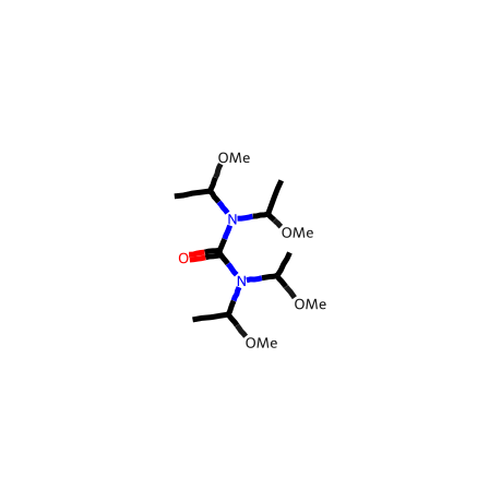 COC(C)N(C(=O)N(C(C)OC)C(C)OC)C(C)OC